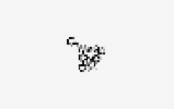 COC(=O)c1ccc([C@H](C)N(C)C(=O)C2(c3ccc(OCCC4CCCCC4)cc3)CCCC2)cc1